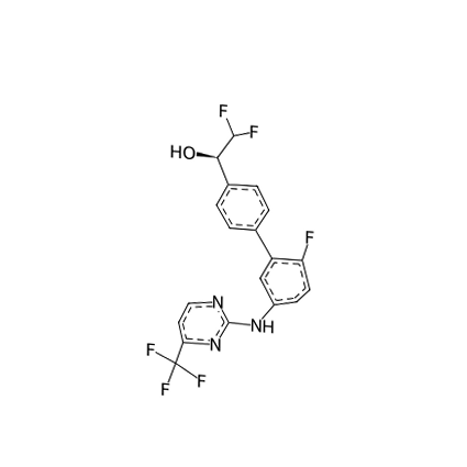 O[C@H](c1ccc(-c2cc(Nc3nccc(C(F)(F)F)n3)ccc2F)cc1)C(F)F